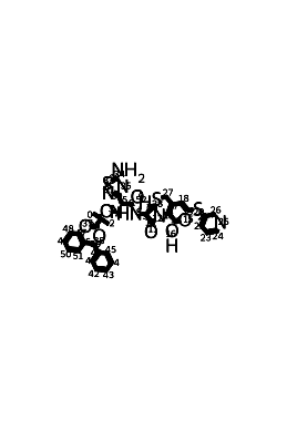 CC(C)(ON=C(C(=O)NC1C(=O)N2C(C(=O)O)=C(C=CSc3cccnc3)CS[C@@H]12)c1nsc(N)n1)C(=O)OC(c1ccccc1)c1ccccc1